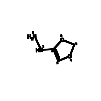 NNC1=COCO1